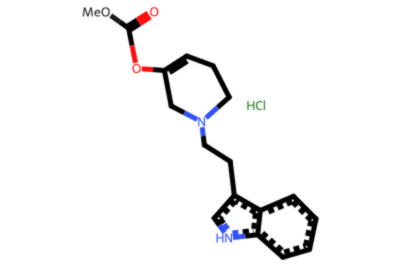 COC(=O)OC1=CCCN(CCc2c[nH]c3ccccc23)C1.Cl